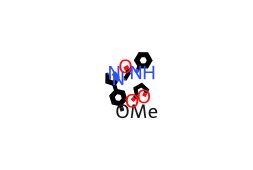 COc1ccc(-c2ccnn2CC(=O)Nc2ccccc2)cc1OC1CCCO1